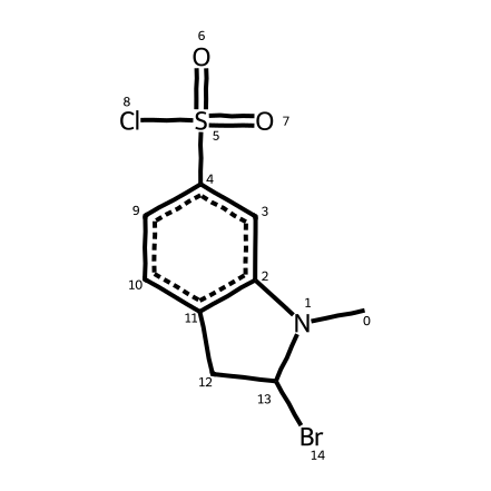 CN1c2cc(S(=O)(=O)Cl)ccc2CC1Br